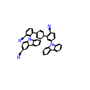 N#Cc1ccc2c(c1)c1ccccc1n2-c1c(C#N)cccc1C1=CCC(c2cc(-n3c4ccccc4c4ccccc43)ccc2C#N)C=C1